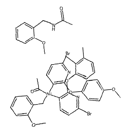 COc1ccc(Oc2nc(Br)ccc2[N+](Cc2ccccc2OC)(C(C)=O)c2ccc(Br)nc2Oc2cccc(C)c2C)cc1.COc1ccccc1CNC(C)=O